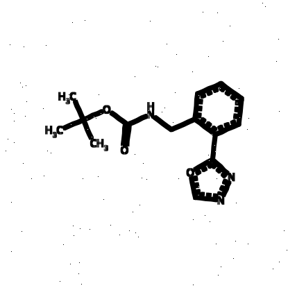 CC(C)(C)OC(=O)NCc1ccccc1-c1nnco1